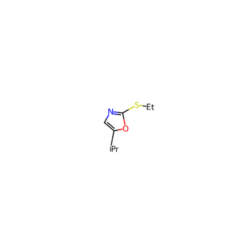 CCSc1ncc(C(C)C)o1